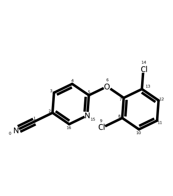 N#Cc1ccc(Oc2c(Cl)cccc2Cl)nc1